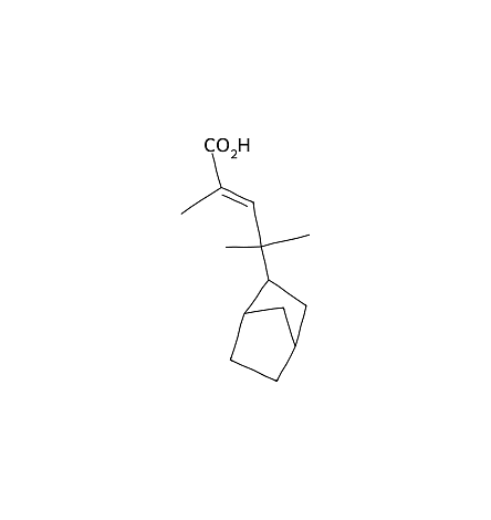 CC(=CC(C)(C)C1CC2CCC1C2)C(=O)O